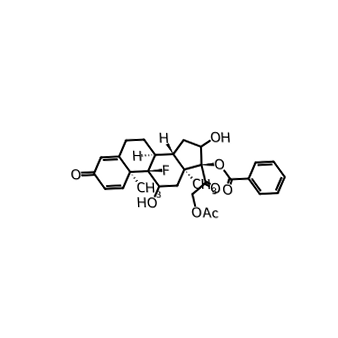 CC(=O)OCC(=O)[C@@]1(OC(=O)c2ccccc2)C(O)C[C@H]2[C@@H]3CCC4=CC(=O)C=C[C@]4(C)[C@@]3(F)C(O)C[C@@]21C